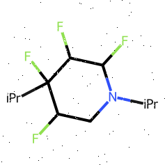 CC(C)N1CC(F)C(F)(C(C)C)C(F)C1F